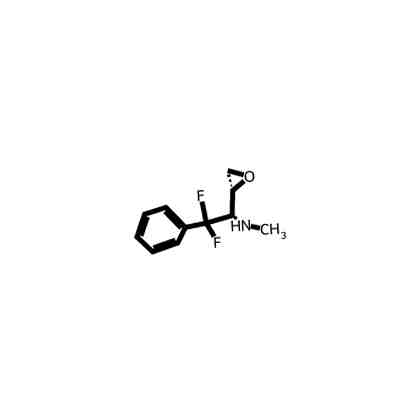 CN[C@@H]([C@@H]1CO1)C(F)(F)c1ccccc1